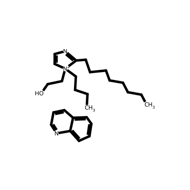 CCCCCCCCC1=NC=C[N+]1(CCO)CCCC.c1ccc2ncccc2c1